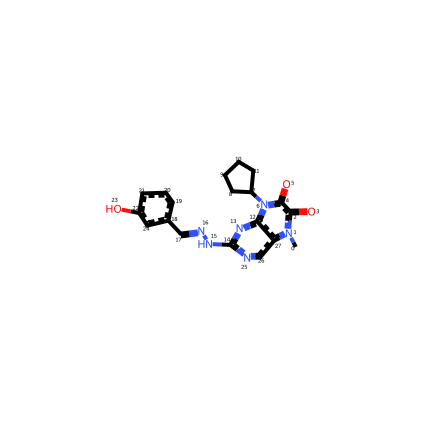 Cn1c(=O)c(=O)n(C2CCCC2)c2nc(NN=Cc3cccc(O)c3)ncc21